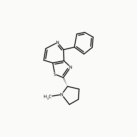 CN1CCC[C@H]1c1nc2c(-c3ccccc3)nccc2s1